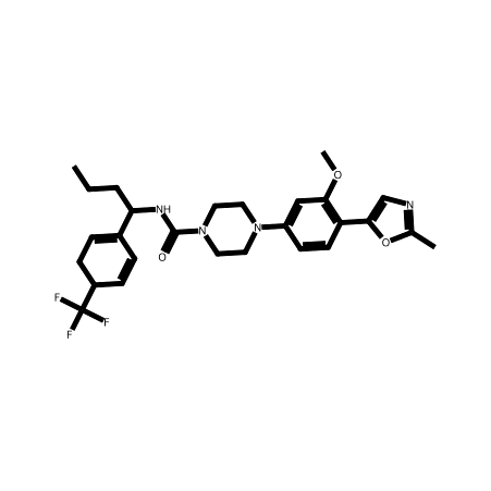 CCCC(NC(=O)N1CCN(c2ccc(-c3cnc(C)o3)c(OC)c2)CC1)C1=CCC(C(F)(F)F)C=C1